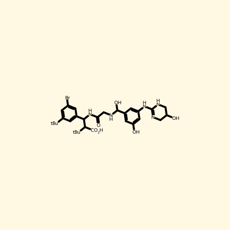 CC(C)(C)c1cc(Br)cc(C(NC(=O)CNC(O)c2cc(O)cc(NC3=NCC(O)CN3)c2)C(C(=O)O)C(C)(C)C)c1